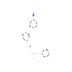 N#Cc1cccc(Oc2ccc(NC(=O)N[C@@H]3[C@H]4COc5c(F)ccc(F)c5[C@@H]43)nc2)c1